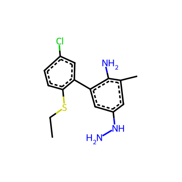 CCSc1ccc(Cl)cc1-c1cc(NN)cc(C)c1N